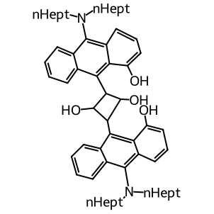 CCCCCCCN(CCCCCCC)c1c2ccccc2c(C2C(O)C(c3c4ccccc4c(N(CCCCCCC)CCCCCCC)c4cccc(O)c34)C2O)c2c(O)cccc12